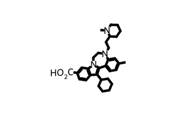 Cc1ccc2c(c1)N(CCC1CCCCN1C)CCn1c-2c(C2CCCCC2)c2ccc(C(=O)O)cc21